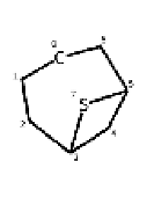 C1CCC2CC(C1)S2